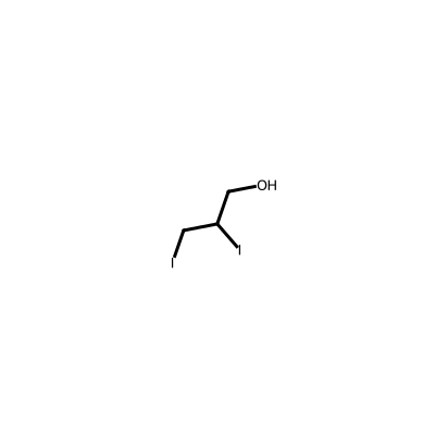 OCC(I)CI